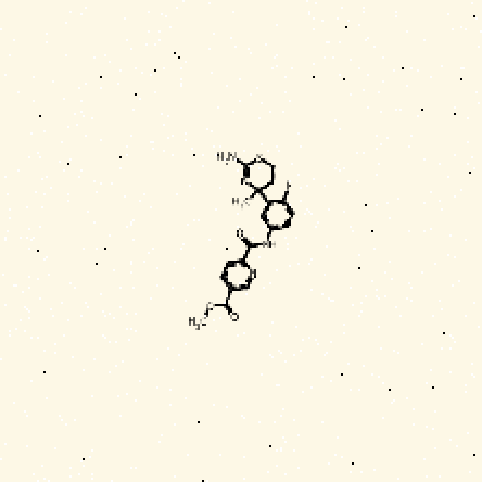 COC(=O)c1ccc(C(=O)Nc2ccc(F)c(C3(C)CCSC(N)=N3)c2)nc1